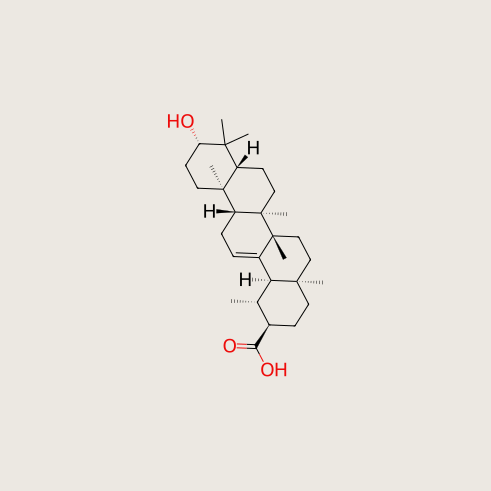 C[C@@H]1[C@H]2C3=CC[C@@H]4[C@@]5(C)CC[C@H](O)C(C)(C)[C@@H]5CC[C@@]4(C)[C@]3(C)CC[C@@]2(C)CC[C@H]1C(=O)O